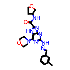 Cc1cccc(/C=N/Nc2nc(N3CCOCC3)c3[nH]c(C(=O)NC4CCOC4)nc3n2)c1